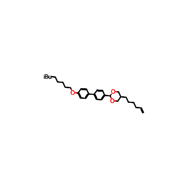 C=CCCCCC1COC(c2ccc(-c3ccc(OCCCCCC(C)CC)cc3)cc2)OC1